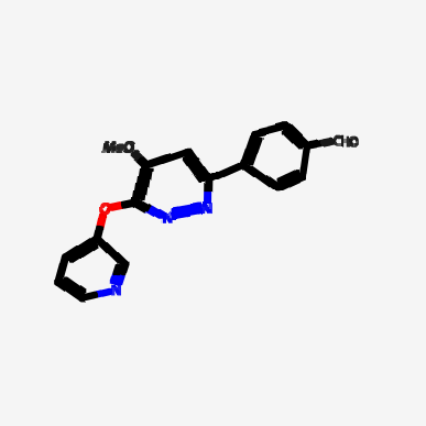 COc1cc(-c2ccc(C=O)cc2)nnc1Oc1cccnc1